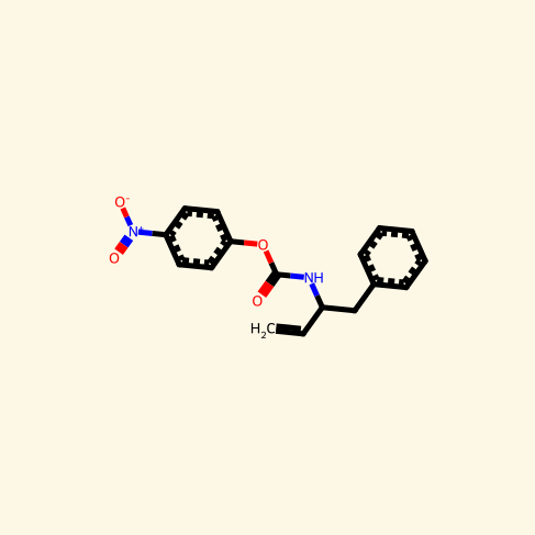 C=CC(Cc1ccccc1)NC(=O)Oc1ccc([N+](=O)[O-])cc1